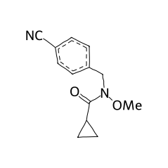 CON(Cc1ccc(C#N)cc1)C(=O)C1CC1